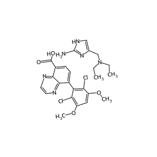 CCN(CC)Cc1c[nH]c(N)n1.COc1cc(OC)c(Cl)c(-c2ccc(C(=O)O)c3nccnc23)c1Cl